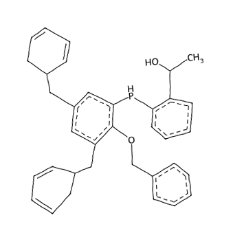 CC(O)c1ccccc1Pc1cc(CC2C=CC=CC2)cc(CC2C=CC=CC2)c1OCc1ccccc1